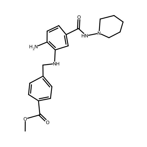 COC(=O)c1ccc(CNc2cc(C(=O)NN3CCCCC3)ccc2N)cc1